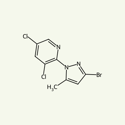 Cc1cc(Br)nn1-c1ncc(Cl)cc1Cl